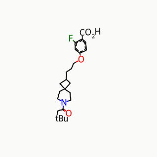 CC(C)(C)CC(=O)N1CCC2(CC1)CC(CCCOc1ccc(C(=O)O)c(F)c1)C2